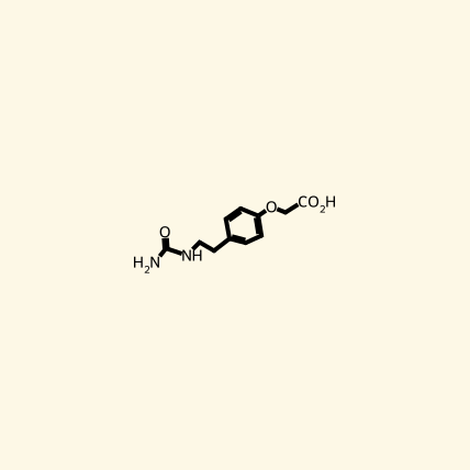 NC(=O)NCCc1ccc(OCC(=O)O)cc1